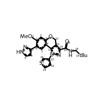 COc1cc2c(cc1-c1cc[nH]n1)-c1c(c(C(=O)NCC(C)(C)C)nn1-c1ccsc1)CO2